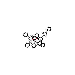 C1=Cc2c(c3ccc4c5ccccc5n(-c5ccccc5-c5cc(-c6ccc(-c7ccccc7)cc6)cc(-c6ccccc6)n5)c4c3n2-c2nc(-c3ccccc3)nc(-c3ccccc3)n2)CC1